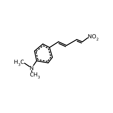 CN(C)c1ccc(C=CC=C[N+](=O)[O-])cc1